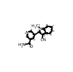 Cn1c(-c2cncc(C(N)=O)c2)c(C#N)c2ccccc21